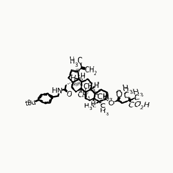 C=C(C)[C@@H]1CC[C@]2(CC(=O)NCc3ccc(C(C)(C)C)cc3)CC[C@]3(C)[C@H](CC[C@@H]4[C@@]5(C)CC[C@H](OC(=O)CC(C)(C)C(=O)O)C(C)(C)[C@@H]5CC[C@]43C)[C@@H]12